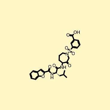 CC(C)C[C@H](NC(=O)c1cc2ccccc2o1)C(=O)NC1CCCN(S(=O)(=O)c2cccc(C(=O)O)c2)CC1=O